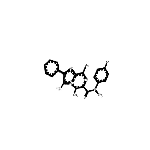 CC(=O)c1nc(C(=O)N(C)c2ccc(Cl)cc2)c(C)n2c(N)c(-c3ccccc3)nc12